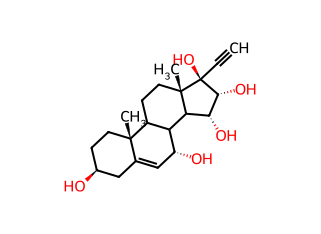 C#C[C@]1(O)[C@H](O)[C@H](O)C2C3C(CC[C@@]21C)[C@@]1(C)CC[C@H](O)CC1=C[C@H]3O